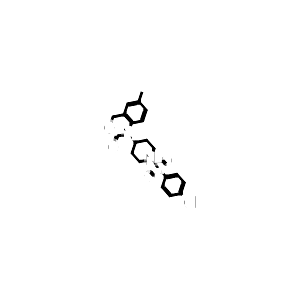 Cc1ccc2c(c1)COC(=O)N2C1CCN(S(=O)(=O)c2ccc(Cl)cc2)CC1